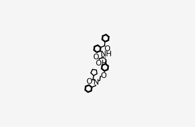 O=C(c1ccccc1)c1ccccc1N[C@@H](Cc1ccc(OCCN(Cc2ccccc2)C(=O)C2CCCC2)cc1)C(=O)O